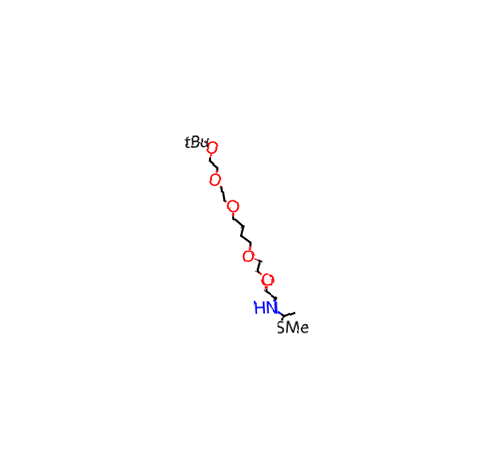 CSC(C)NCCOCCOCCCCOCCOCCOC(C)(C)C